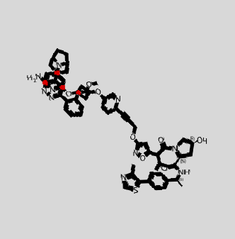 COCOc1ccccc1-c1cc(N2CC3CCC(C2)N3c2ccnc(OC3CC(Oc4ccc(C#CCOc5cc(C(C(=O)N6C[C@H](O)C[C@H]6C(=O)N[C@@H](C)c6ccc(-c7scnc7C)cc6)C(C)C)on5)nc4)C3)c2)c(N)nn1